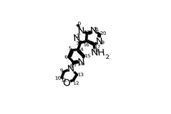 Cn1nc(-c2ccc(N3CCOCC3)nc2)c2c(N)ncnc21